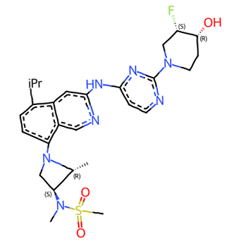 CC(C)c1ccc(N2C[C@H](N(C)S(C)(=O)=O)[C@H]2C)c2cnc(Nc3ccnc(N4CC[C@@H](O)[C@@H](F)C4)n3)cc12